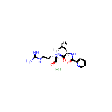 CC(C)C[C@H](NC(=O)c1ccccn1)C(=O)N[C@H](C=O)CCCNC(=N)N.Cl